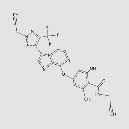 C#CCNC(=O)c1c(C)cc(Oc2nccn3c(-c4cn(CC#C)nc4C(F)(F)F)cnc23)cc1O